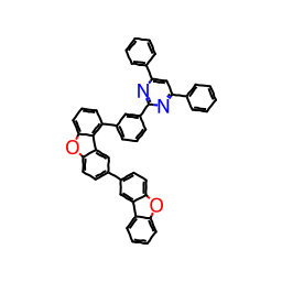 c1ccc(-c2cc(-c3ccccc3)nc(-c3cccc(-c4cccc5oc6ccc(-c7ccc8oc9ccccc9c8c7)cc6c45)c3)n2)cc1